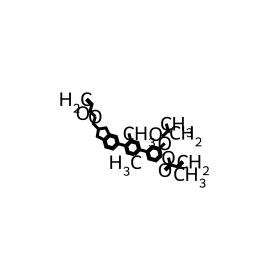 C=CC(=O)OCC1Cc2ccc(-c3cc(C)c(-c4ccc(OC(=O)C(=C)C)c(OC(=O)C(=C)C)c4)cc3C)cc2C1